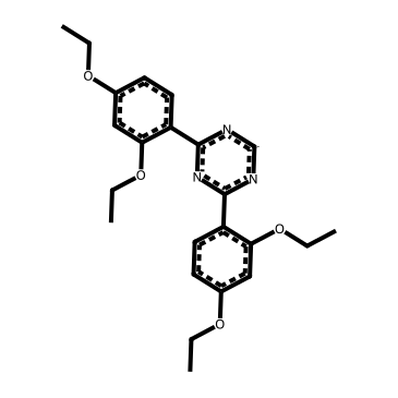 CCOc1ccc(-c2n[c]nc(-c3ccc(OCC)cc3OCC)n2)c(OCC)c1